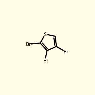 CCc1c(Br)csc1Br